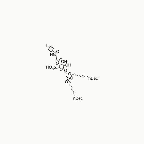 CCCCCCCCCCCCCCCCCC(=O)OCC(COC1OC(CS(=O)(=O)O)C(OC(=O)CCNC(=O)c2ccc(I)cc2)C(O)C1O)OC(=O)CCCCCCCCCCCCCCCCC